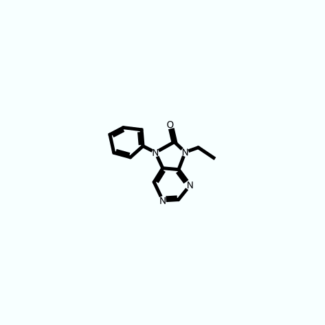 CCn1c(=O)n(-c2ccccc2)c2cncnc21